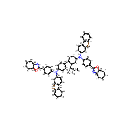 CC1(C)c2cc(N(c3ccc(-c4nc5ccccc5o4)cc3)c3ccc4c(c3)sc3ccccc34)ccc2-c2ccc(N(c3ccc(-c4nc5ccccc5o4)cc3)c3ccc4c(c3)sc3ccccc34)cc21